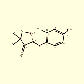 CC1(C)CON(Cc2ccc(F)cc2I)C1=O